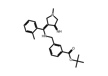 Cc1ccccc1/C(NCc1cccc(C(=O)OC(C)(C)C)c1)=C1\CN(C)CC1=N